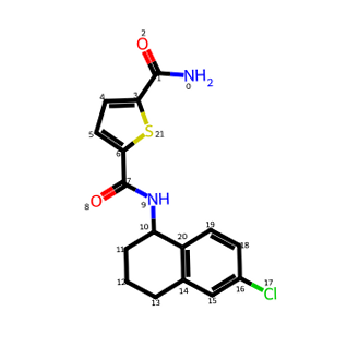 NC(=O)c1ccc(C(=O)NC2CCCc3cc(Cl)ccc32)s1